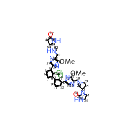 COc1nc(-c2cccc(-c3cccc(-c4cnc(CN5CCC(N6CCNC6=O)C5)c(OC)n4)c3Cl)c2Cl)cnc1CNC[C@@H]1CCC(=O)N1